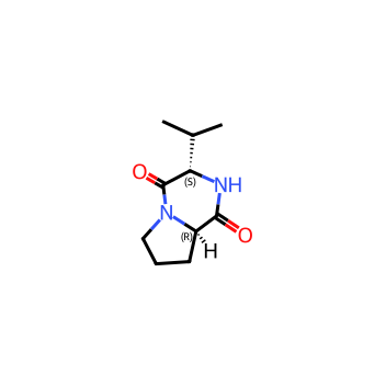 CC(C)[C@@H]1NC(=O)[C@H]2CCCN2C1=O